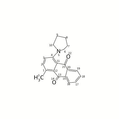 Cc1ccc(N2CCCCC2)c2c1C(=O)c1ccccc1C2=O